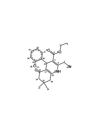 CCOC(=O)C1=C(CBr)NC2=C(C(=O)CC(C)(C)C2)C1c1ccccc1Cl